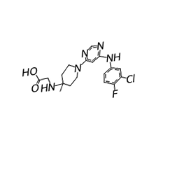 CC1(NCC(=O)O)CCN(c2cc(Nc3ccc(F)c(Cl)c3)ncn2)CC1